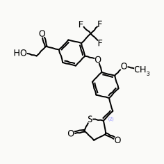 COc1cc(/C=C2\SC(=O)CC2=O)ccc1Oc1ccc(C(=O)CO)cc1C(F)(F)F